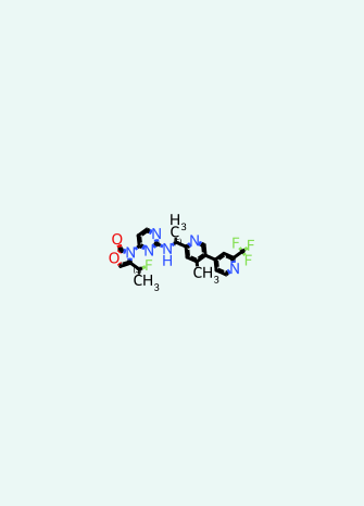 Cc1cc([C@H](C)Nc2nccc(-n3c([C@H](C)F)coc3=O)n2)ncc1-c1ccnc(C(F)(F)F)c1